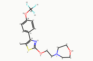 Cc1sc(OCCN2CCOCC2)nc1-c1ccc(OC(F)(F)F)cc1